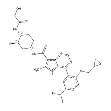 Cc1[nH]c2c(-c3cc(C(F)F)ccc3OCC3CC3)ncnc2c1C(=O)N[C@H]1CC[C@@H](NC(=O)CO)[C@H](F)C1